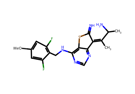 COc1cc(F)c(CNc2ncnc3c2SC(=N)/C3=C(/C)C(C)N)c(F)c1